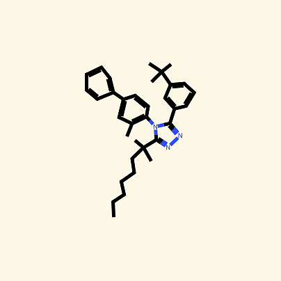 CCCCCCC(C)(C)c1nnc(-c2cccc(C(C)(C)C)c2)n1-c1ccc(-c2ccccc2)cc1C